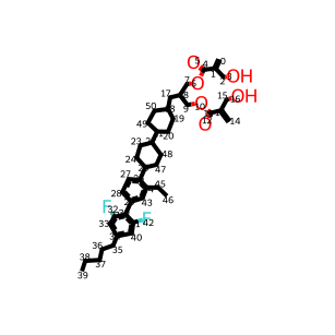 C=C(CO)C(=O)OCC(COC(=O)C(=C)CO)CC1CCC(C2CCC(c3ccc(-c4c(F)cc(CCCCC)cc4F)cc3CC)CC2)CC1